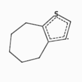 [c]1csc2c1CCCCC2